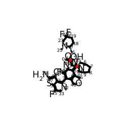 CC(O)CN1CC2CCC(C1)N2c1nc(OC[C@@H]2CCC(F)(F)CN2C)nc2c(F)c(-c3ncc(F)c4sc(N)c(C#N)c34)c3c(c12)COC3